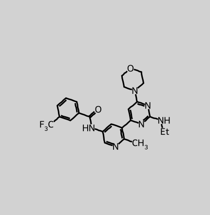 CCNc1nc(-c2cc(NC(=O)c3cccc(C(F)(F)F)c3)cnc2C)cc(N2CCOCC2)n1